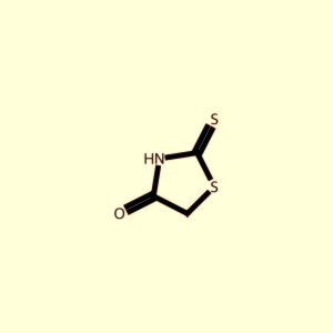 O=C1[CH]SC(=S)N1